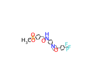 CCS(=O)(=O)c1ccc(CC(=O)Nc2ccc(N3CCOC(c4ccc(C(F)(F)F)cc4)C3)cc2)cc1